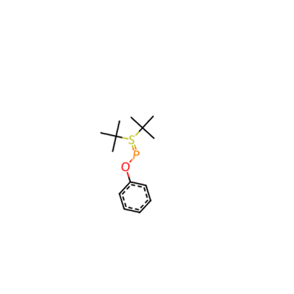 CC(C)(C)S(=POc1ccccc1)C(C)(C)C